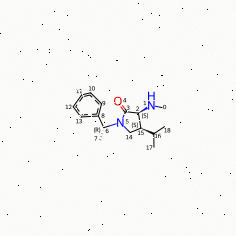 CN[C@@H]1C(=O)N([C@H](C)c2ccccc2)C[C@@H]1C(C)C